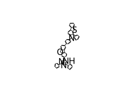 c1ccc(C2=NC(c3ccccc3)NC(c3ccc4c(c3)oc3ccc(-c5ccc(-n6c7ccccc7c7c8sc9ccccc9c8ccc76)cc5)cc34)=N2)cc1